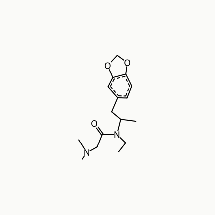 CCN(C(=O)CN(C)C)C(C)Cc1ccc2c(c1)OCO2